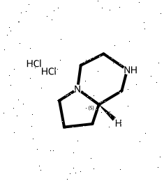 C1C[C@H]2CNCCN2C1.Cl.Cl